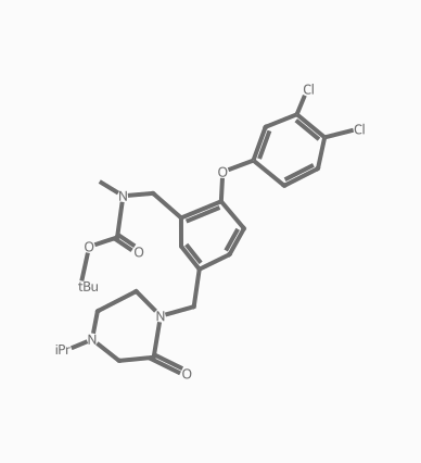 CC(C)N1CCN(Cc2ccc(Oc3ccc(Cl)c(Cl)c3)c(CN(C)C(=O)OC(C)(C)C)c2)C(=O)C1